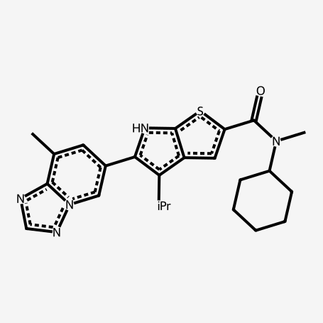 Cc1cc(-c2[nH]c3sc(C(=O)N(C)C4CCCCC4)cc3c2C(C)C)cn2ncnc12